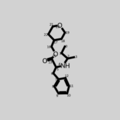 CCC(C)NC(Cc1ccccc1)C(=O)OCC1CCOCC1